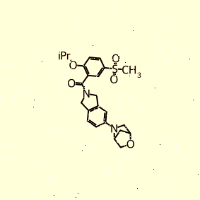 CC(C)Oc1ccc(S(C)(=O)=O)cc1C(=O)N1Cc2ccc(N3CC4CC3CO4)cc2C1